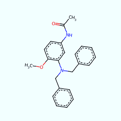 COc1ccc(NC(C)=O)cc1N(Cc1ccccc1)Cc1ccccc1